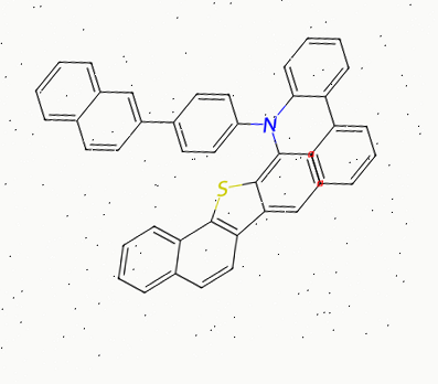 c1ccc(-c2ccccc2N(c2ccc(-c3ccc4ccccc4c3)cc2)c2cccc3c2sc2c4ccccc4ccc32)cc1